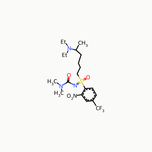 CCN(CC)C(C)CCCCS(=O)(=NC(=O)N(C)C)c1ccc(C(F)(F)F)cc1[N+](=O)[O-]